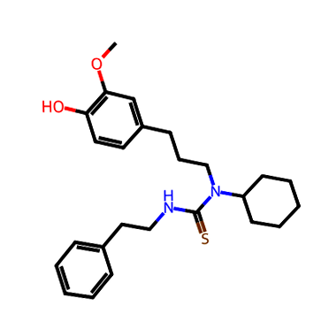 COc1cc(CCCN(C(=S)NCCc2ccccc2)C2CCCCC2)ccc1O